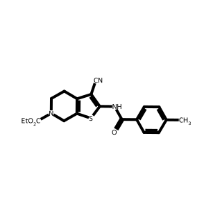 CCOC(=O)N1CCc2c(sc(NC(=O)c3ccc(C)cc3)c2C#N)C1